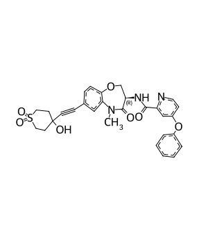 CN1C(=O)[C@H](NC(=O)c2cc(Oc3ccccc3)ccn2)COc2ccc(C#CC3(O)CCS(=O)(=O)CC3)cc21